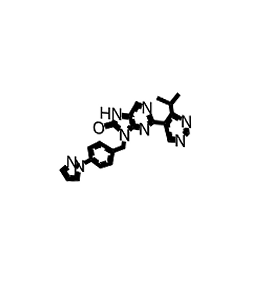 CC(C)c1ncncc1-c1ncc2[nH]c(=O)n(Cc3ccc(-n4cccn4)cc3)c2n1